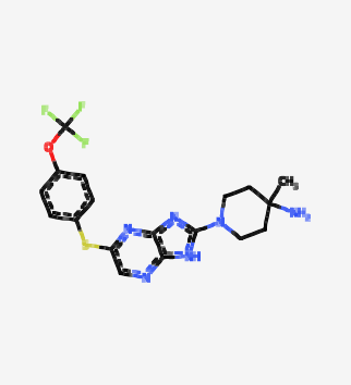 CC1(N)CCN(c2nc3nc(Sc4ccc(OC(F)(F)F)cc4)cnc3[nH]2)CC1